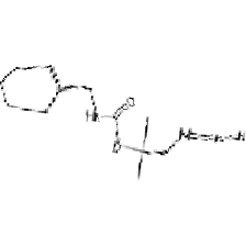 CC(C)(CN=[N+]=[N-])OC(=O)NCC1CCCCC1